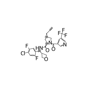 C#CC[C@@H]1C[C@H](C(=O)N[C@@H](c2cc(F)c(Cl)cc2F)C2COC2)N(C(=O)c2cncc(C(F)(F)F)c2)C1